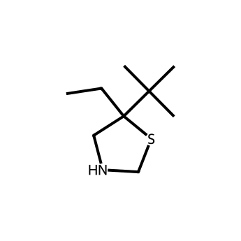 CCC1(C(C)(C)C)CNCS1